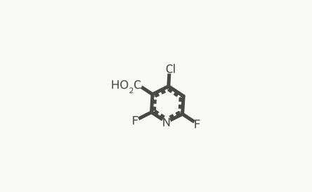 O=C(O)c1c(Cl)cc(F)nc1F